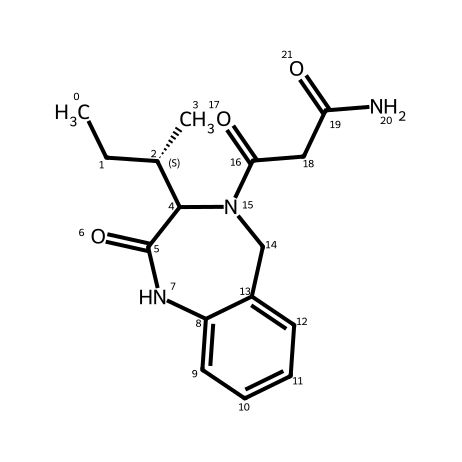 CC[C@H](C)C1C(=O)Nc2ccccc2CN1C(=O)CC(N)=O